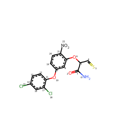 NC(=O)C(C=S)Oc1cc(Oc2ccc(Cl)cc2Cl)ccc1[N+](=O)[O-]